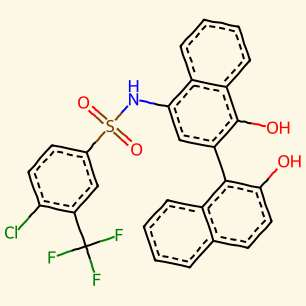 O=S(=O)(Nc1cc(-c2c(O)ccc3ccccc23)c(O)c2ccccc12)c1ccc(Cl)c(C(F)(F)F)c1